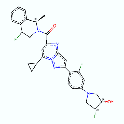 C[C@@H]1c2ccccc2C(F)CN1C(=O)c1cc(C2CC2)n2nc(-c3ccc(N4C[C@@H](O)[C@H](F)C4)cc3F)cc2n1